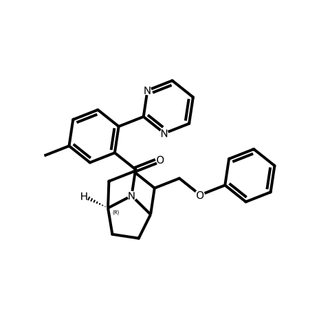 Cc1ccc(-c2ncccn2)c(C(=O)N2C3CC[C@H]2CCC3COc2ccccc2)c1